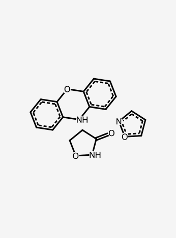 O=C1CCON1.c1ccc2c(c1)Nc1ccccc1O2.c1cnoc1